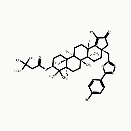 CC(C)C1=C2[C@H]3CC[C@@H]4[C@@]5(C)CC[C@H](OC(=O)CC(C)(C)C(=O)O)C(C)(C)[C@@H]5CC[C@@]4(C)[C@]3(C)CC[C@@]2(Cc2nnc(-c3ccc(Br)cc3)o2)CC1=O